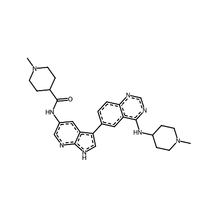 CN1CCC(Nc2ncnc3ccc(-c4c[nH]c5ncc(NC(=O)C6CCN(C)CC6)cc45)cc23)CC1